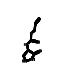 C=CCOC(=O)NC1CNNC1=O